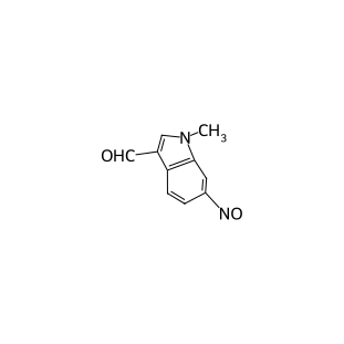 Cn1cc(C=O)c2ccc(N=O)cc21